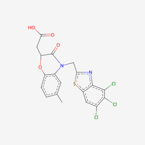 Cc1ccc2c(c1)N(Cc1nc3c(Cl)c(Cl)c(Cl)cc3s1)C(=O)C(CC(=O)O)O2